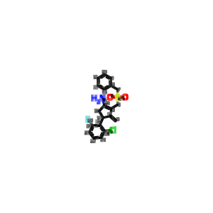 C=C1C(CS(=O)(=O)Cc2ccccc2)=C(N)CC1c1c(F)cccc1Cl